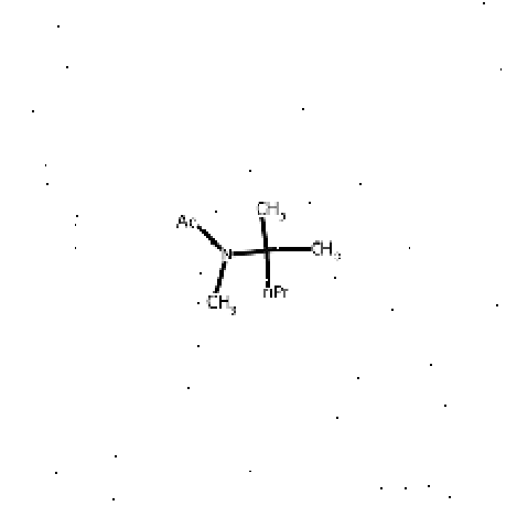 CCCC(C)(C)N(C)C(C)=O